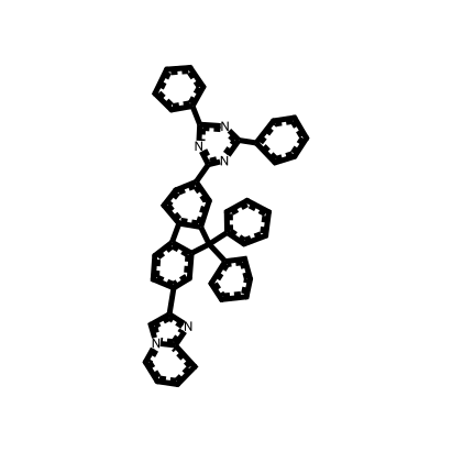 c1ccc(-c2nc(-c3ccccc3)nc(-c3ccc4c(c3)C(c3ccccc3)(c3ccccc3)c3cc(-c5cn6ccccc6n5)ccc3-4)n2)cc1